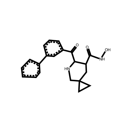 O=C(NO)C1CC2(CC2)CNC1C(=O)c1cccc(-c2ccccc2)c1